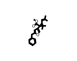 COC(=O)C1(c2coc(Cc3ccccc3)c2)C(C=C(C)C)C1(C)C